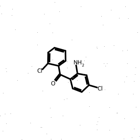 Nc1cc(Cl)ccc1C(=O)c1ccccc1Cl